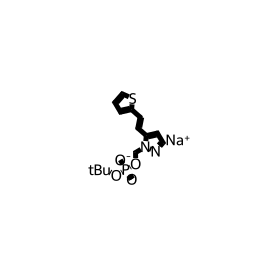 CC(C)(C)OP(=O)([O-])OCn1nccc1C=Cc1cccs1.[Na+]